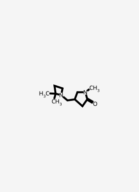 CN1CC(CN2CCC2(C)C)CC1=O